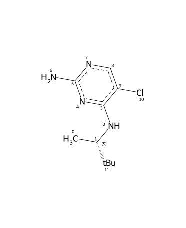 C[C@H](Nc1nc(N)ncc1Cl)C(C)(C)C